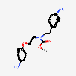 CC(C)(C)OC(=O)N(CCOc1ccc(N)cc1)CCc1ccc(N)cc1